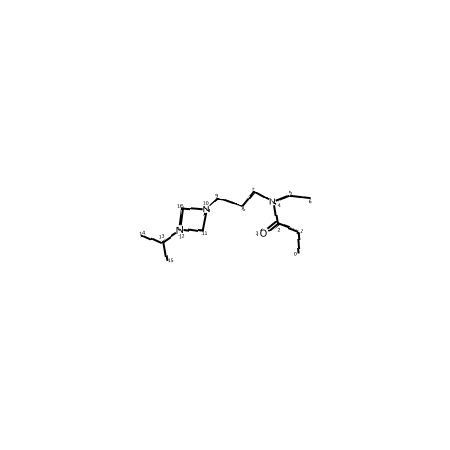 CCC(=O)N(CC)CCCN1CN(C(C)C)C1